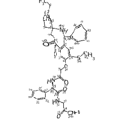 CCCCC1(CC)CS(=O)(=O)c2cc(OCC(=O)N[C@@H](C(=O)NCC(=O)O)c3ccccc3)c(SC)cc2C(c2ccccc2)N1